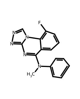 CN(c1ccccc1)c1nc2nncn2c2c(F)cccc12